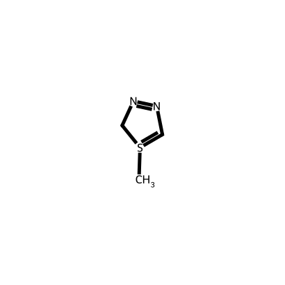 CS1=CN=NC1